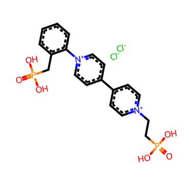 O=P(O)(O)CC[n+]1ccc(-c2cc[n+](-c3ccccc3CP(=O)(O)O)cc2)cc1.[Cl-].[Cl-]